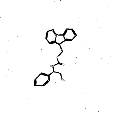 O=C(NC(CO)c1ccccc1)OCC1c2ccccc2-c2ccccc21